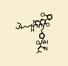 CCN(CC)CCCCNc1ncc2cc(-c3ccccc3Cl)c(=O)n(CCc3ccc(NC(=O)C(C#N)=CC(C)C)cc3)c2n1